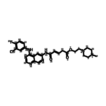 CN1CCN(CCOC(=O)C/C=C/C(=O)Nc2cc3c(Nc4ccc(F)c(Cl)c4)ncnc3cn2)CC1